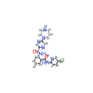 Cc1ccc(NC(=O)c2cnc(N3CCCN(C)CC3)cn2)c(C(=O)Nc2ccc(Cl)cn2)c1